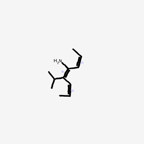 C\C=C/C(N)=C(\C=C/C)C(C)C